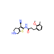 COc1c(C)cccc1CCC(=O)Nc1sc2c(c1C#N)CCNC2